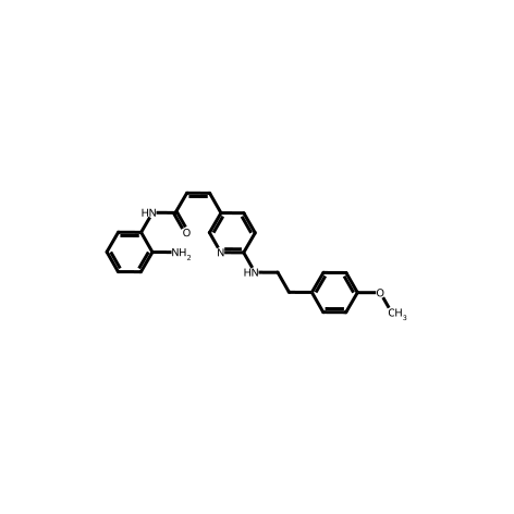 COc1ccc(CCNc2ccc(/C=C\C(=O)Nc3ccccc3N)cn2)cc1